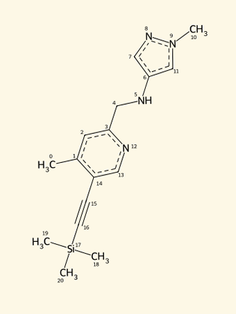 Cc1cc(CNc2cnn(C)c2)ncc1C#C[Si](C)(C)C